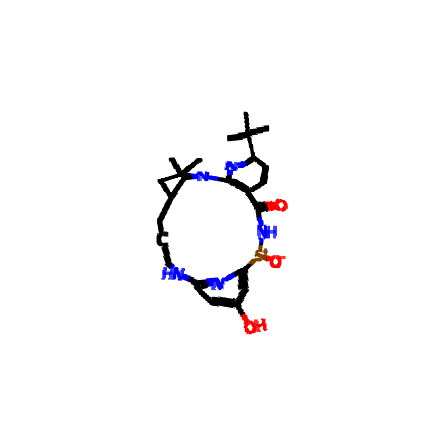 CC(C)(C)c1ccc2c(n1)N1CC(CCCNc3cc(O)cc(n3)[S+]([O-])NC2=O)CC1(C)C